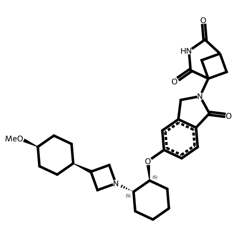 CO[C@H]1CC[C@@H](C2CN([C@H]3CCCC[C@@H]3Oc3ccc4c(c3)CN(C35CC(C3)C(=O)NC5=O)C4=O)C2)CC1